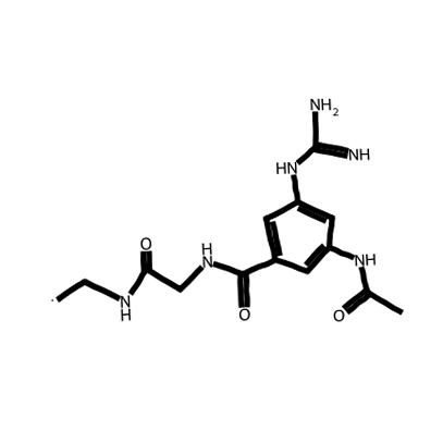 [CH2]CNC(=O)CNC(=O)c1cc(NC(=N)N)cc(NC(C)=O)c1